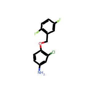 Nc1ccc(OCc2cc(F)ccc2F)c(Cl)c1